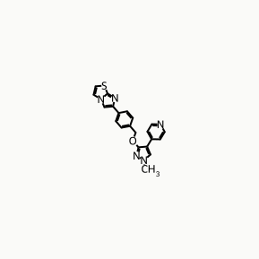 Cn1cc(-c2ccncc2)c(OCc2ccc(-c3cn4ccsc4n3)cc2)n1